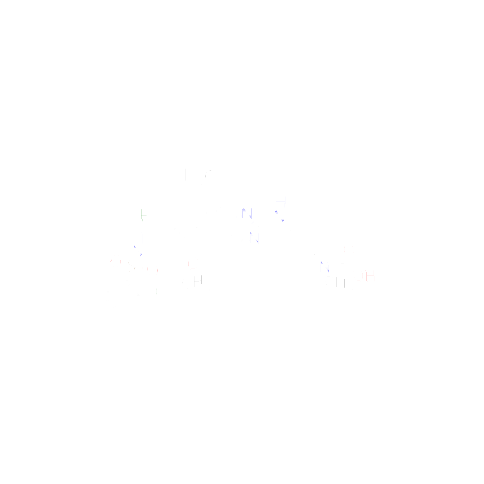 CCc1cc(-c2cc(F)c(NS(=O)(=O)c3ccccc3Cl)cc2OC)cc2cnc(NC3CCC(N(C)C(=O)O)CC3)nc12